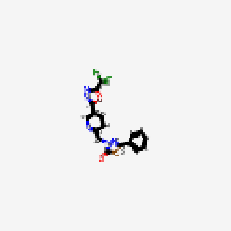 O=c1sc(-c2ccccc2)nn1Cc1ccc(-c2nnc(C(F)F)o2)cn1